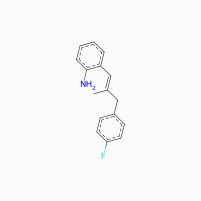 C/C(=C\c1ccccc1N)Cc1ccc(F)cc1